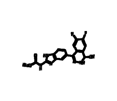 CC(C)COC(=O)Nc1nc2cc(C3=NNC(O)c4cc(F)c(F)cc43)ccc2[nH]1